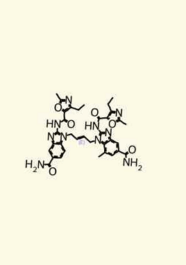 CCc1nc(C)oc1C(=O)Nc1nc2cc(C(N)=O)ccc2n1C/C=C/Cn1c(NC(=O)c2oc(C)nc2CC)nc2cc(C(N)=O)cc(C)c21